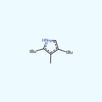 Cc1c(C(C)(C)C)c[nH]c1C(C)(C)C